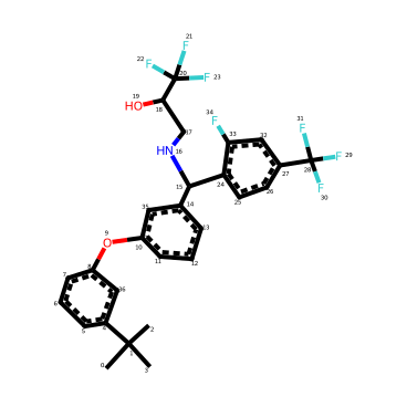 CC(C)(C)c1cccc(Oc2cccc(C(NCC(O)C(F)(F)F)c3ccc(C(F)(F)F)cc3F)c2)c1